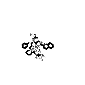 CC(C)(C)NC(=O)C1CCCC[N+]1([O-])C[C@@H](O)[C@H](Cc1ccccc1)NC(=O)[C@H](CC(N)=O)NC(=O)c1ccc2ccccc2n1